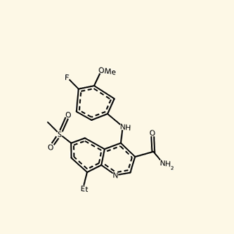 CCc1cc(S(C)(=O)=O)cc2c(Nc3ccc(F)c(OC)c3)c(C(N)=O)cnc12